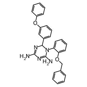 NC1=NC(c2cccc(Oc3ccccc3)c2)N(c2ccccc2OCc2ccccc2)C(N)=N1